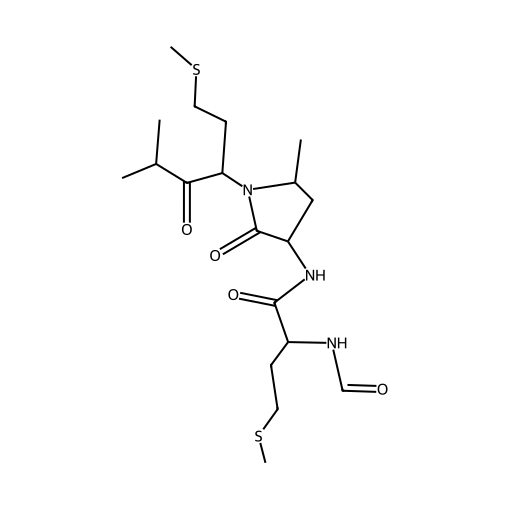 CSCCC(NC=O)C(=O)NC1CC(C)N(C(CCSC)C(=O)C(C)C)C1=O